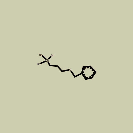 Br[Si](Br)(Br)CCCOCc1ccccc1